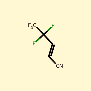 N#C/C=C/C(F)(F)C(F)(F)F